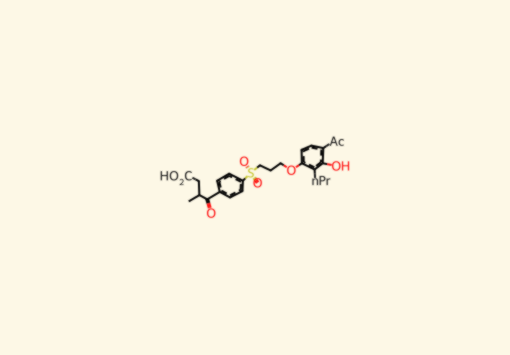 CCCc1c(OCCCS(=O)(=O)c2ccc(C(=O)C(C)CC(=O)O)cc2)ccc(C(C)=O)c1O